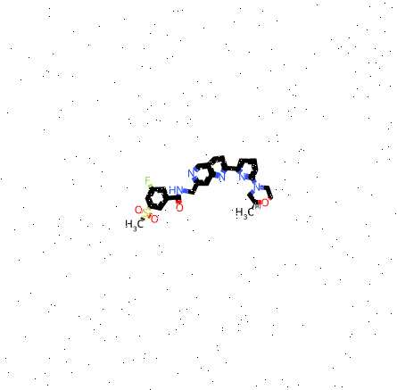 C[C@@H]1CN(c2cccc(-c3ccc4cnc(CNC(=O)c5cc(F)cc(S(C)(=O)=O)c5)cc4n3)n2)CCO1